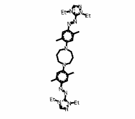 CCn1nc[n+](CC)c1/N=N/c1cc(C)c(N2CCCN(c3cc(C)c(/N=N/c4n(CC)nc[n+]4CC)cc3C)CCC2)cc1C